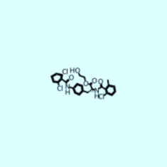 Cc1cccc(Cl)c1C(=O)N[C@@H](Cc1ccc(NC(=O)c2c(Cl)cccc2Cl)cc1)C(=O)OCCO